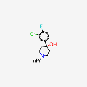 CCCN1CCC(O)(c2ccc(F)c(Cl)c2)CC1